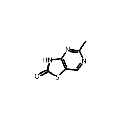 Cc1ncc2sc(=O)[nH]c2n1